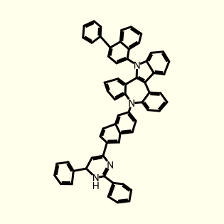 C1=C(c2ccc3cc(N4c5ccccc5-c5c(n(-c6ccc(-c7ccccc7)c7ccccc67)c6ccccc56)-c5ccccc54)ccc3c2)N=C(c2ccccc2)NC1c1ccccc1